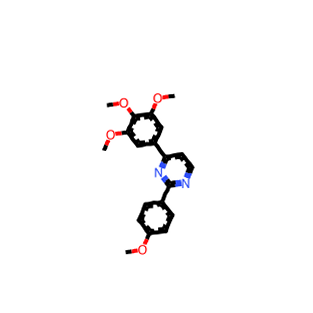 COc1ccc(-c2nccc(-c3cc(OC)c(OC)c(OC)c3)n2)cc1